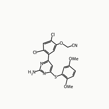 COc1ccc(OC)c(Sc2cc(-c3cc(OCC#N)c(Cl)cc3Cl)nc(N)n2)c1